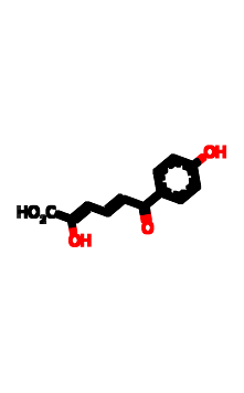 O=C(O)C(O)=CC=CC(=O)c1ccc(O)cc1